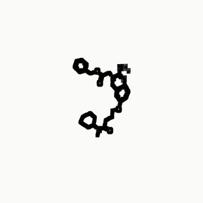 CN(C(=O)CCCOc1ccc2c(c1)CN(CC(=O)OCc1ccccc1)C(N)=N2)C1CCCCC1